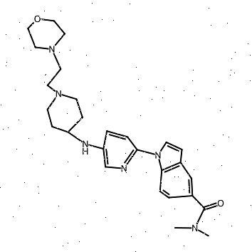 CN(C)C(=O)c1ccc2c(ccn2-c2ccc(NC3CCN(CCN4CCOCC4)CC3)cn2)c1